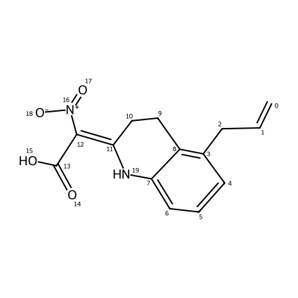 C=CCc1cccc2c1CC/C(=C(/C(=O)O)[N+](=O)[O-])N2